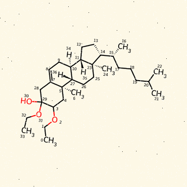 CCOC1C[C@@]2(C)C(=CC[C@H]3[C@@H]4CC[C@H]([C@H](C)CCCC(C)C)[C@@]4(C)CC[C@@H]32)CC1(O)OCC